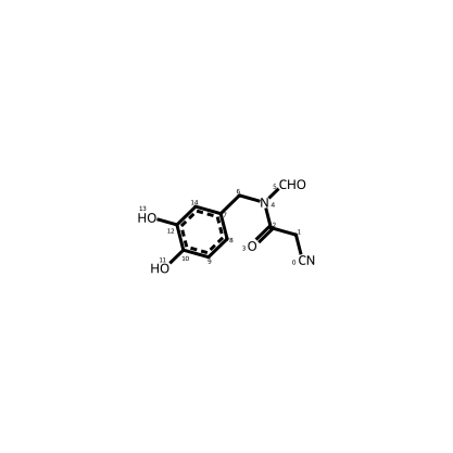 N#CCC(=O)N(C=O)Cc1ccc(O)c(O)c1